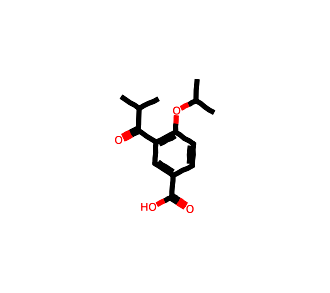 CC(C)Oc1ccc(C(=O)O)cc1C(=O)C(C)C